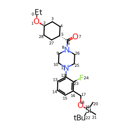 CCO[C@H]1CC[C@H](C(=O)N2CCN(c3cccc(CO[Si](C)(C)C(C)(C)C)c3F)CC2)CC1